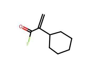 C=C(C(=O)F)C1CCCCC1